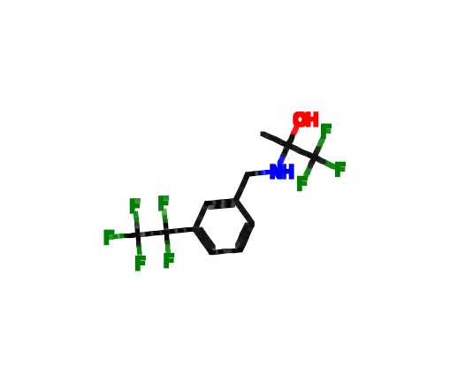 CC(O)(NCc1cccc(C(F)(F)C(F)(F)F)c1)C(F)(F)F